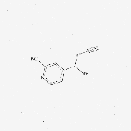 C#CCC(c1ccnc(C#N)c1)C(C)C